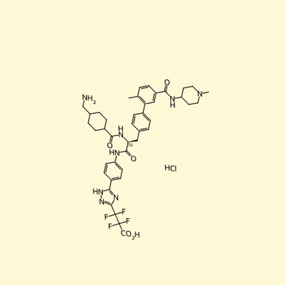 Cc1ccc(C(=O)NC2CCN(C)CC2)cc1-c1ccc(C[C@H](NC(=O)C2CCC(CN)CC2)C(=O)Nc2ccc(-c3nc(C(F)(F)C(F)(F)C(=O)O)n[nH]3)cc2)cc1.Cl